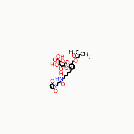 CC(C)CC(=O)OCc1ccc(CCCCCNC(=O)CCN2C(=O)C=CC2=O)cc1O[C@@H]1O[C@H](C(=O)O)[C@@H](O)[C@H](O)[C@H]1O